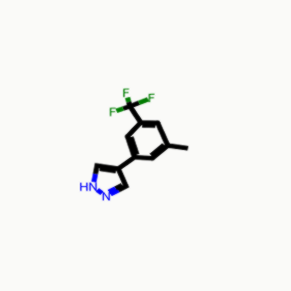 Cc1cc(-c2cn[nH]c2)cc(C(F)(F)F)c1